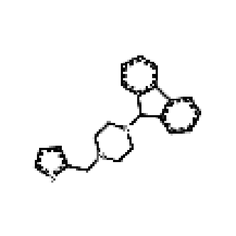 c1csc(CN2CCN(C3c4ccccc4-c4ccccc43)CC2)c1